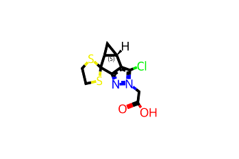 O=C(O)Cn1nc2c(c1Cl)[C@H]1CC1C21SCCS1